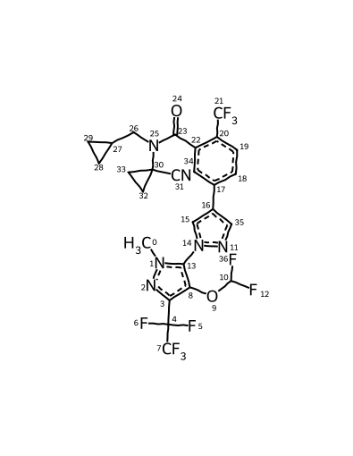 Cn1nc(C(F)(F)C(F)(F)F)c(OC(F)F)c1-n1cc(-c2ccc(C(F)(F)F)c(C(=O)N(CC3CC3)C3(C#N)CC3)c2)cn1